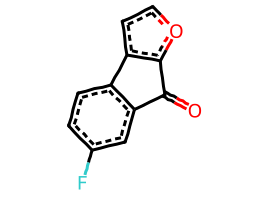 O=C1c2cc(F)ccc2-c2ccoc21